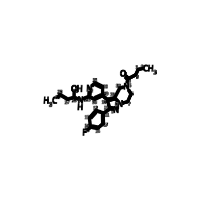 CCCC(=O)N1CCn2nc(-c3ccc(F)cc3)c(-c3ccnc(NC(O)CCC)c3)c2C1